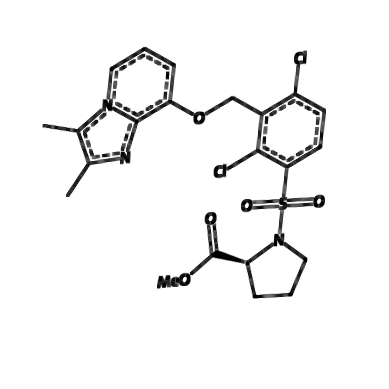 COC(=O)[C@@H]1CCCN1S(=O)(=O)c1ccc(Cl)c(COc2cccn3c(C)c(C)nc23)c1Cl